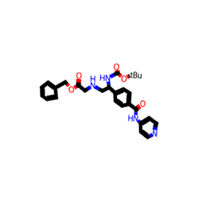 CC(C)(C)OC(=O)NC(CNCC(=O)OCc1ccccc1)c1ccc(C(=O)Nc2ccncc2)cc1